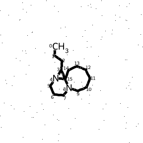 CCCC1N2CCCN3CCCCCCC132